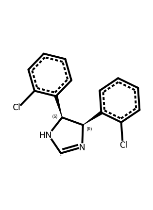 Clc1ccccc1[C@H]1N=[C]N[C@H]1c1ccccc1Cl